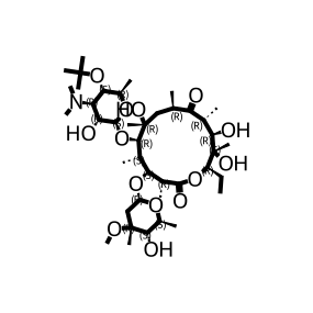 CC[C@H]1OC(=O)[C@H](C)[C@@H](O[C@H]2C[C@@](C)(OC)[C@@H](O)[C@H](C)O2)[C@H](C)[C@@H](O[C@@H]2O[C@H](C)[C@@H](OC(C)(C)C)[C@H](N(C)C)[C@H]2O)[C@](C)(O)C[C@@H](C)C(=O)[C@H](C)[C@@H](O)[C@]1(C)O